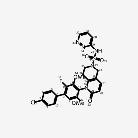 COc1cc(-c2ccc(Cl)cc2)c(F)c(OC)c1-n1c2c(ccc1=O)CN(S(=O)(=O)Nc1cccnn1)CC2